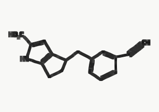 C#Cc1cccc(CC2CCc3[nH]c(C(=O)O)cc32)c1